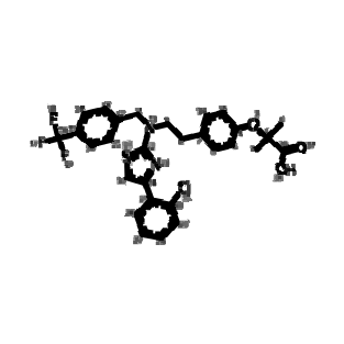 CC(C)(Oc1ccc(CCN(Cc2ccc(C(F)(F)F)cc2)c2nc(-c3ccccc3Cl)cs2)cc1)C(=O)O